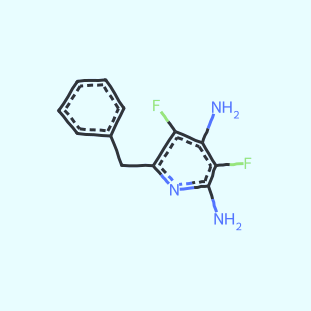 Nc1nc(Cc2ccccc2)c(F)c(N)c1F